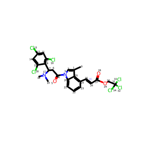 Cc1cn(C(=O)CC(c2c(Cl)cc(Cl)cc2Cl)N(C)C)c2cccc(/C=C/C(=O)OCC(Cl)(Cl)Cl)c12